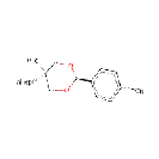 CCCCCCC[C@]1(C)CO[C@@H](c2ccc(C#N)cc2)OC1